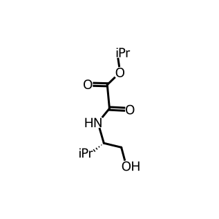 CC(C)OC(=O)C(=O)N[C@H](CO)C(C)C